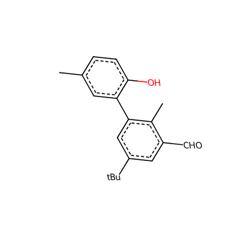 Cc1ccc(O)c(-c2cc(C(C)(C)C)cc(C=O)c2C)c1